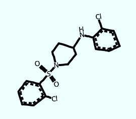 O=S(=O)(c1ccccc1Cl)N1CCC(Nc2ccccc2Cl)CC1